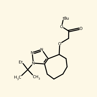 CCC(C)(C)n1nnc2c1CCCCCC2OCC(=O)OC(C)(C)C